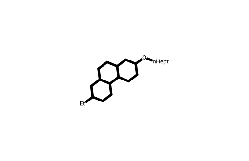 CCCCCCCOC1CCC2C(CCC3CC(CC)CCC32)C1